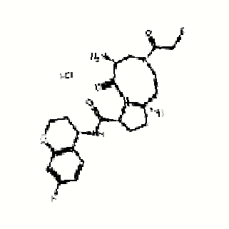 Cl.N[C@H]1CN(C(=O)CF)CC[C@H]2CC[C@@H](C(=O)N[C@@H]3CCOc4cc(F)ccc43)N2C1=O